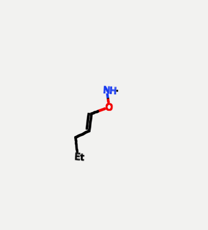 CCCC=CO[NH]